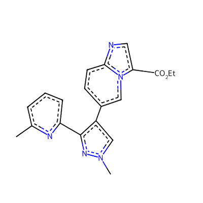 CCOC(=O)c1cnc2ccc(-c3cn(C)nc3-c3cccc(C)n3)cn12